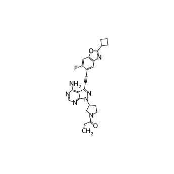 C=CC(=O)N1CCC(n2nc(C#Cc3cc4nc(C5CCC5)oc4cc3F)c3c(N)ncnc32)C1